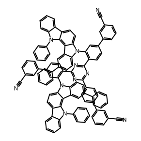 N#Cc1cccc(-c2ccc(-c3nc(-c4ccc(-c5cccc(C#N)c5)cc4-n4c5ccc(-c6ccccc6)cc5c5c4ccc4c6ccccc6n(-c6ccccc6)c45)nc(-c4ccc(-c5cccc(C#N)c5)cc4-n4c5ccc(-c6ccccc6)cc5c5c4ccc4c6ccccc6n(-c6ccccc6)c45)n3)cc2)c1